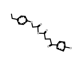 CCc1ccc(OCC(=O)OC(=O)CCC(=O)c2ccc(Cl)cc2)cc1